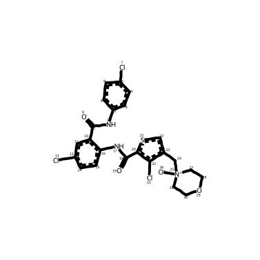 O=C(Nc1ccc(Cl)cc1)c1cc(Cl)ccc1NC(=O)c1scc(C[N+]2([O-])CCOCC2)c1Cl